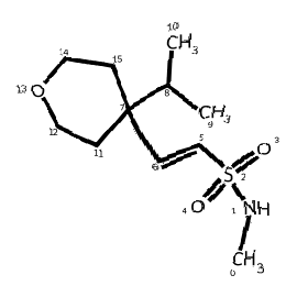 CNS(=O)(=O)/C=C/C1(C(C)C)CCOCC1